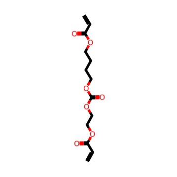 C=CC(=O)OCCCCOC(=O)OCCOC(=O)C=C